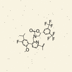 C=C(C)c1ccc(-c2cc(C(C)C)c(F)cc2OC)c(CN2C(=O)O[C@H](c3cc(C(F)(F)F)cc(C(F)(F)F)c3)[C@@H]2C)n1